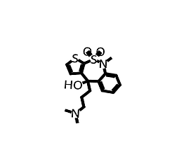 CN(C)CCCC1(O)c2ccccc2N(C)S(=O)(=O)c2sccc21